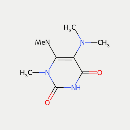 CNc1c(N(C)C)c(=O)[nH]c(=O)n1C